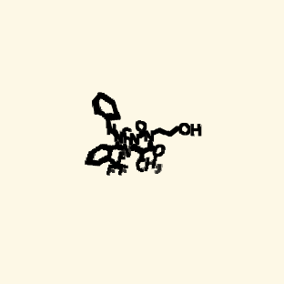 Cc1c(/N=C(\NCc2ccccc2)c2ccccc2C(F)(F)F)n(C)c(=O)n(CCCO)c1=O